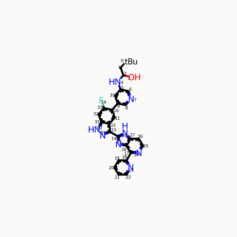 CC(C)(C)CC(O)Nc1cncc(-c2cc3c(-c4nc5c(-c6ccccn6)nccc5[nH]4)n[nH]c3cc2F)c1